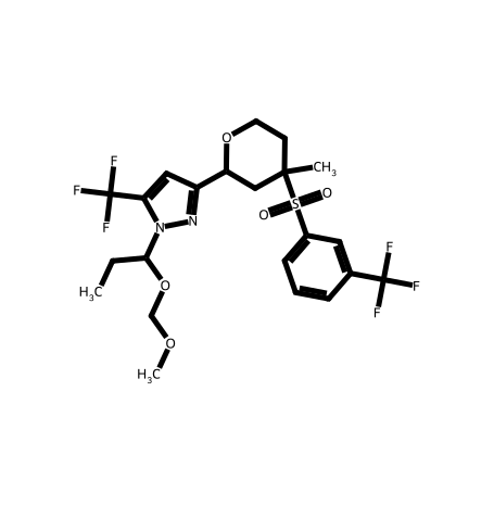 CCC(OCOC)n1nc(C2CC(C)(S(=O)(=O)c3cccc(C(F)(F)F)c3)CCO2)cc1C(F)(F)F